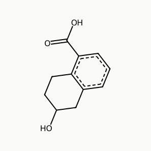 O=C(O)c1cccc2c1CCC(O)C2